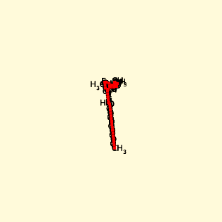 CCCOCCOCCOCCOCCOCCOCCOCCOCCOCCC(=O)NCCSSCCOC(=O)N[C@H]1CCc2c(C)c(F)cc3nc4c(c1c23)Cn1c-4cc2c(c1=O)COC(=O)[C@]2(O)CC